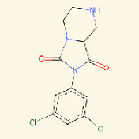 O=C1C2CNCCN2C(=O)N1c1cc(Cl)cc(Cl)c1